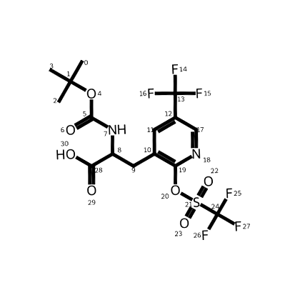 CC(C)(C)OC(=O)NC(Cc1cc(C(F)(F)F)cnc1OS(=O)(=O)C(F)(F)F)C(=O)O